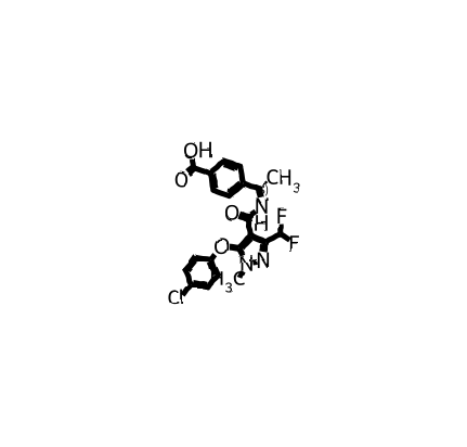 C[C@H](NC(=O)c1c(C(F)F)nn(C)c1Oc1ccc(Cl)cc1)c1ccc(C(=O)O)cc1